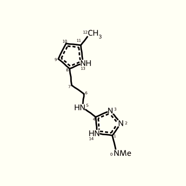 CNc1nnc(NCCc2ccc(C)[nH]2)[nH]1